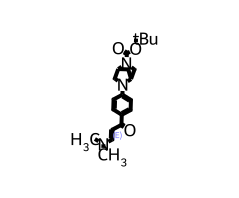 CN(C)/C=C/C(=O)c1ccc(N2CC3CC2CN3C(=O)OC(C)(C)C)cc1